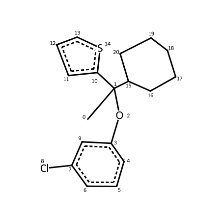 CC(Oc1[c]ccc(Cl)c1)(c1cccs1)C1CCCCC1